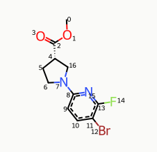 COC(=O)[C@H]1CCN(c2ccc(Br)c(F)n2)C1